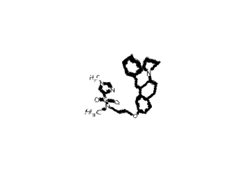 CN(CCOc1ccc2c(c1)C(Cc1ccccc1)C(N1CCC1)CC2)S(=O)(=O)c1cn(C)cn1